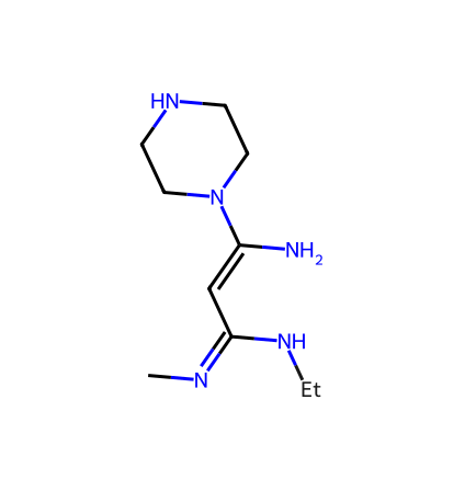 CCNC(/C=C(\N)N1CCNCC1)=N/C